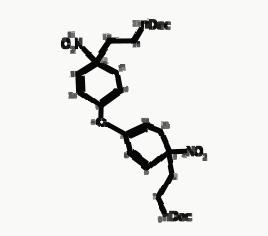 CCCCCCCCCCCCC1([N+](=O)[O-])C=CC(OC2=CCC(CCCCCCCCCCCC)([N+](=O)[O-])C=C2)=CC1